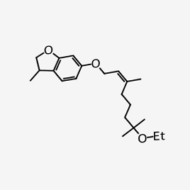 CCOC(C)(C)CCCC(C)=CCOc1ccc2c(c1)OCC2C